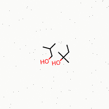 CC(C)CO.CCC(C)(C)O